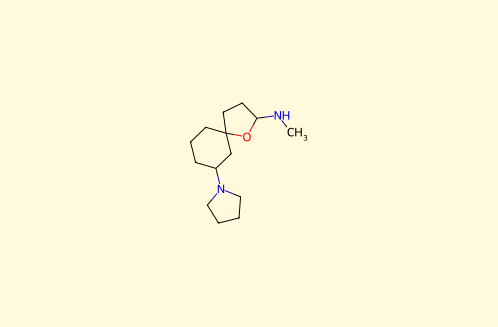 CNC1CCC2(CCCC(N3CCCC3)C2)O1